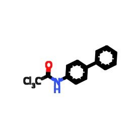 O=C(Nc1ccc(-c2ccccc2)cc1)C(Cl)(Cl)Cl